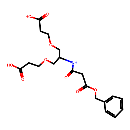 O=C(O)CCOCC(COCCC(=O)O)NC(=O)CC(=O)OCc1ccccc1